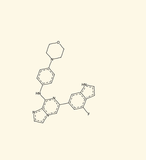 Fc1cc(-c2cn3ccnc3c(Nc3ccc(N4CCOCC4)cc3)n2)cc2[nH]ccc12